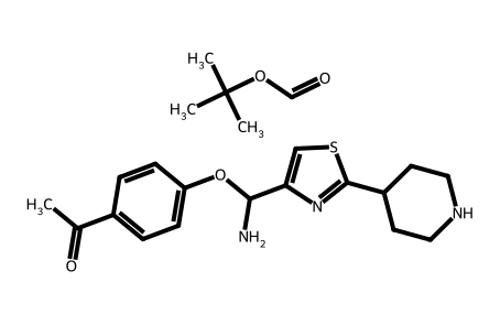 CC(=O)c1ccc(OC(N)c2csc(C3CCNCC3)n2)cc1.CC(C)(C)OC=O